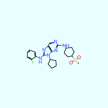 CS(=O)(=O)C1CCC(Nc2ncc3nc(Nc4ccccc4F)n(C4CCCC4)c3n2)CC1